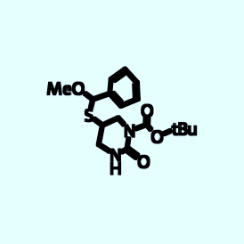 COC(SC1CNC(=O)N(C(=O)OC(C)(C)C)C1)c1ccccc1